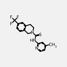 Cc1ccnc(NC(=S)N2CCc3cc(C(F)(F)F)ccc3C2)c1